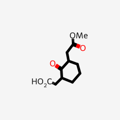 COC(=O)CC1CCCC(CC(=O)O)C1=O